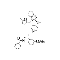 COc1cccc(C(CCN2CCC(Nc3nc4ccccc4n3Cc3ccc(C)o3)CC2)CN(C)C(=O)c2ccccc2)c1